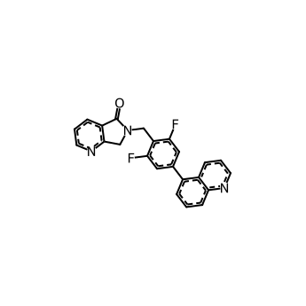 O=C1c2cccnc2CN1Cc1c(F)cc(-c2cccc3ncccc23)cc1F